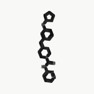 O=C(Nc1cccnn1)N1CCC(=Cc2cccc(OC3CCCC3)c2)CC1